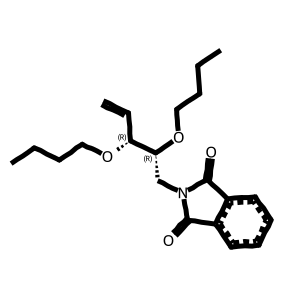 C=C[C@@H](OCCCC)[C@@H](CN1C(=O)c2ccccc2C1=O)OCCCC